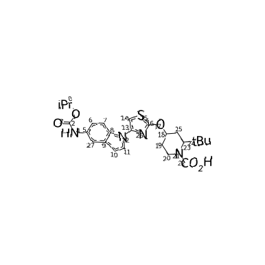 CC(C)OC(=O)Nc1ccc2c(ccn2-c2csc(OC3CCN(C(=O)O)C(C(C)(C)C)C3)n2)c1